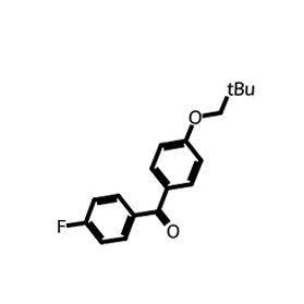 CC(C)(C)COc1ccc(C(=O)c2ccc(F)cc2)cc1